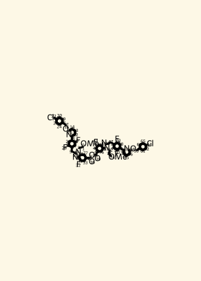 COCCn1c(Cc2cc(F)c(-c3cccc(OCc4ccc(Cl)cc4)n3)cc2F)nc2c(F)cc(C(=O)OC(=O)c3cc(F)c4nc(Cc5cc(F)c(-c6cccc(OCc7ccc(Cl)cc7)n6)cc5F)n(CCOC)c4c3)cc21